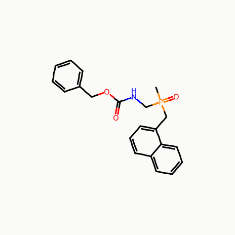 CP(=O)(CNC(=O)OCc1ccccc1)Cc1cccc2ccccc12